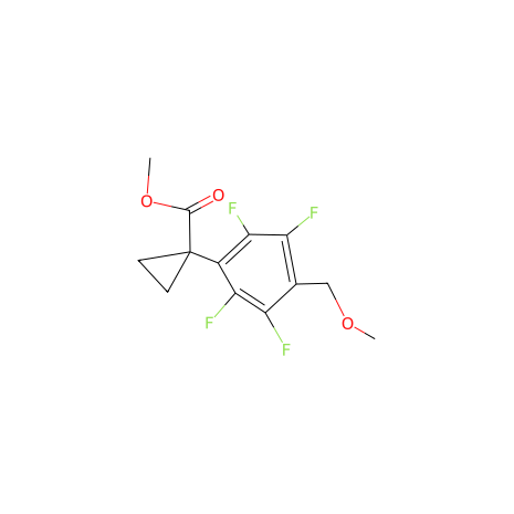 COCc1c(F)c(F)c(C2(C(=O)OC)CC2)c(F)c1F